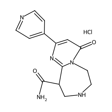 Cl.NC(=O)C1CNCCn2c1nc(-c1ccncc1)cc2=O